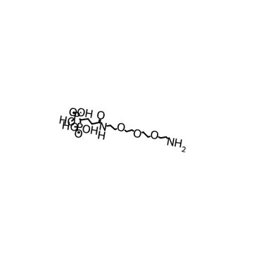 NCCOCCOCCOCCNC(=O)CCC(P(=O)(O)O)P(=O)(O)O